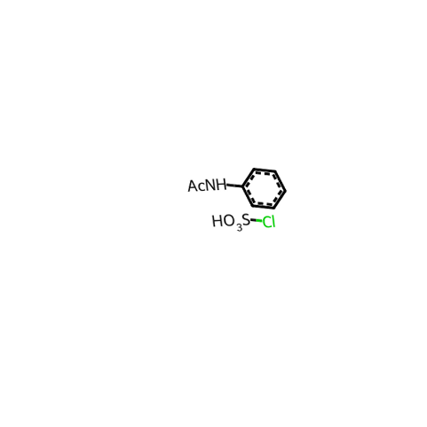 CC(=O)Nc1ccccc1.O=S(=O)(O)Cl